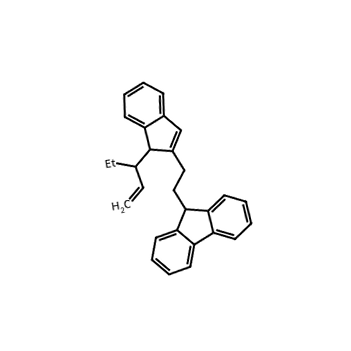 C=CC(CC)C1C(CCC2c3ccccc3-c3ccccc32)=Cc2ccccc21